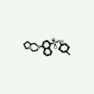 Cc1ccc(NS(=O)(=O)c2ccc(N3CCN4CCCC4C3)c3ccccc23)cc1